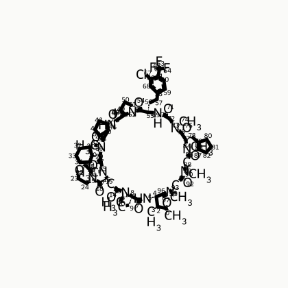 CC[C@H](C)[C@@H]1NC(=O)[C@H](CC)N(C)C(=O)C[C@@H](C(=O)N2CCOCC2)N(C)C(=O)[C@H](C2CCCCC2)N(C)C(=O)C2(CCCC2)NC(=O)[C@@H]2CCCN2C(=O)[C@H](CCc2ccc(C(F)(F)F)c(Cl)c2)NC(=O)CN(C)C(=O)[C@H](CC2CCCC2)N(C)C(=O)CN(C)C(=O)CN(C)C1=O